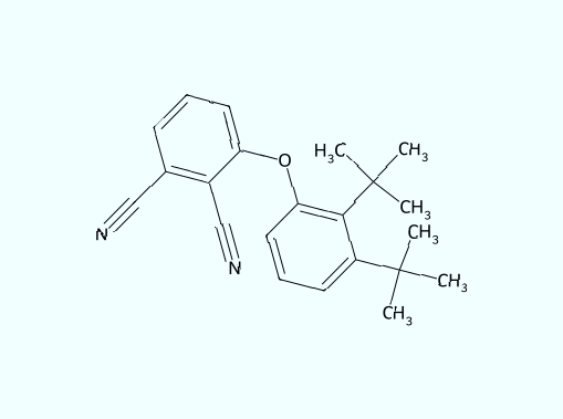 CC(C)(C)c1cccc(Oc2cccc(C#N)c2C#N)c1C(C)(C)C